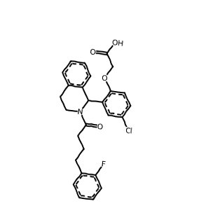 O=C(O)COc1ccc(Cl)cc1C1c2ccccc2CCN1C(=O)CCCc1ccccc1F